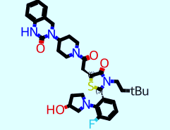 CC(C)(C)CCN1C(=O)[C@H](CC(=O)N2CCC(N3Cc4ccccc4NC3=O)CC2)S[C@H]1c1cccc(F)c1N1CCC(O)C1